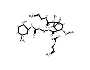 C=CCOC(=O)N[C@@]1(C(=O)OCOC(=O)O[C@H]2C[C@@H](C)CC[C@@H]2C(C)C)[C@H](OCCC)C[C@@H]2[C@H]1[C@@]2(F)C(=O)OCC=C